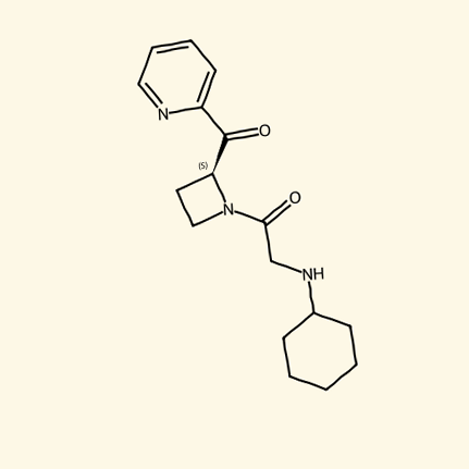 O=C(c1ccccn1)[C@@H]1CCN1C(=O)CNC1CCCCC1